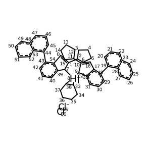 C1=C(C2CCCC2)[CH]([Hf+2]2([CH]3C(C4CCCC4)=Cc4c(-c5cccc6ccccc56)cccc43)[CH]3CCCC[CH]32)c2cccc(-c3cccc4ccccc34)c21.[Cl-].[Cl-]